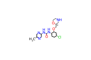 Cc1cnc(NC(=O)Nc2ccc(Cl)cc2OC[C@@H]2CNCCO2)cn1